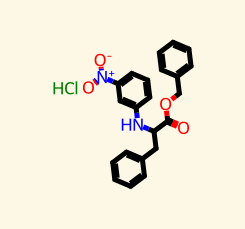 Cl.O=C(OCc1ccccc1)C(Cc1ccccc1)Nc1cccc([N+](=O)[O-])c1